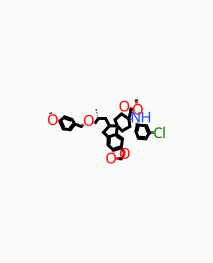 COC(=O)C1(Nc2cccc(Cl)c2)CCC2(CC1)c1cc3c(cc1CC2C[C@@H](C)COCc1ccc(OC)cc1)OCO3